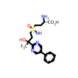 N=S(=O)(CC[C@H](N)C(=O)O)CCC(O)(c1ncc(-c2ccccc2)cn1)C(F)(F)F